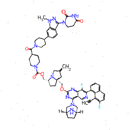 C#Cc1c(F)ccc2cccc(-c3ncc4c(N5C[C@H]6CC[C@@H](C5)N6)nc(OC[C@]56CC[C@H](COC(=O)N7CCC(C(=O)N8CCC(c9ccc%10c(N%11CCC(=O)NC%11=O)nn(C)c%10c9)CC8)CC7)N5CC(=C)C6)nc4c3F)c12